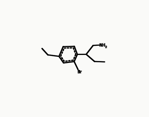 CCc1ccc(C(CC)CN)c(Br)c1